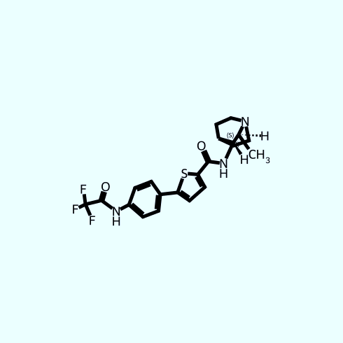 C[C@H]1[C@H](NC(=O)c2ccc(-c3ccc(NC(=O)C(F)(F)F)cc3)s2)C2CCN1CC2